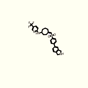 O=S(=O)(/C=C1/CCCC(Nc2ccc(C(F)(F)F)cn2)CC1)c1ccc(-c2ccc3c(c2)CNC3)cc1